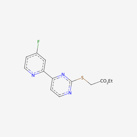 CCOC(=O)CSc1nccc(-c2cc(F)ccn2)n1